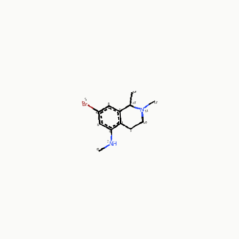 CNc1cc(Br)cc2c1CCN(C)C2C